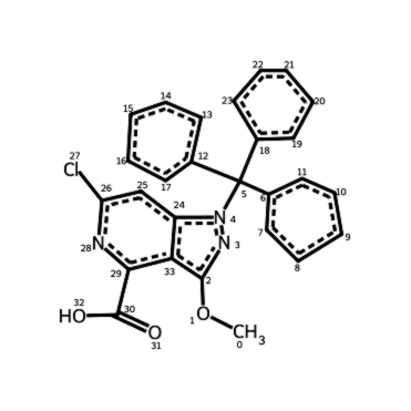 COc1nn(C(c2ccccc2)(c2ccccc2)c2ccccc2)c2cc(Cl)nc(C(=O)O)c12